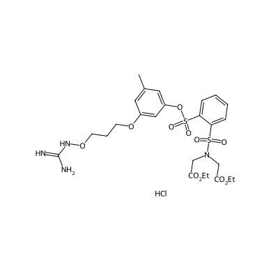 CCOC(=O)CN(CC(=O)OCC)S(=O)(=O)c1ccccc1S(=O)(=O)Oc1cc(C)cc(OCCCONC(=N)N)c1.Cl